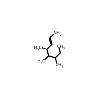 CCC(C)C(C)[C@@H](C)C=CN